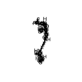 CC(=O)Nc1cc(NCCCCCCCCCCNC(=O)CN2CCN(c3ccc(C(=O)Nc4n[nH]c5ccc(Cc6cc(F)cc(F)c6)cc45)c(NC4CCOCC4)c3)CC2)ccc1C(=O)Nc1nc(C)c([N+](=O)[O-])s1